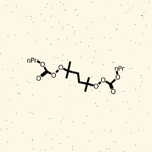 CCCOC(=O)OOC(C)(C)CCC(C)(C)OOC(=O)OCCC